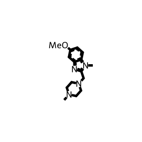 COc1ccc2c(c1)nc(CN1CCN(C)CC1)n2C